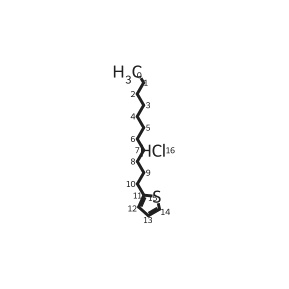 CCCCCCCCCCCc1cccs1.Cl